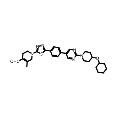 CC1=C(C=O)CCN(c2nnc(-c3ccc(-c4cnc(N5CCC(OC6CCCCC6)CC5)nc4)cc3)s2)C1